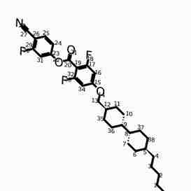 CCCCC[C@H]1CC[C@H]([C@H]2CC[C@H](COc3cc(F)c(C(=O)Oc4ccc(C#N)c(F)c4)c(F)c3)CC2)CC1